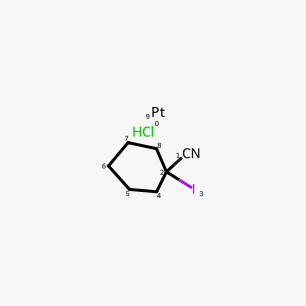 Cl.N#CC1(I)CCCCC1.[Pt]